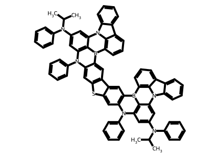 CC(C)N(c1ccccc1)c1cc2c3c(c1)-n1c4ccccc4c4cccc(c41)B3c1cc3c(cc1N2c1ccccc1)sc1cc2c(cc13)B1c3c(cc(N(c4ccccc4)C(C)C)cc3-n3c4ccccc4c4cccc1c43)N2c1ccccc1